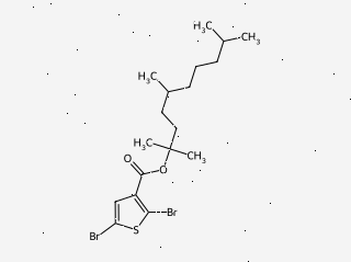 CC(C)CCCC(C)CCC(C)(C)OC(=O)c1cc(Br)sc1Br